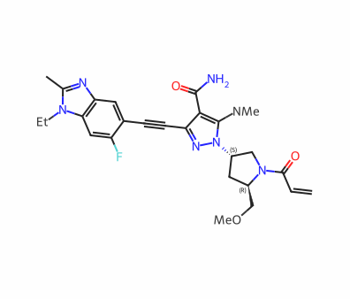 C=CC(=O)N1C[C@@H](n2nc(C#Cc3cc4nc(C)n(CC)c4cc3F)c(C(N)=O)c2NC)C[C@@H]1COC